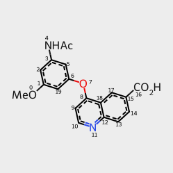 COc1cc(NC(C)=O)cc(Oc2ccnc3ccc(C(=O)O)cc23)c1